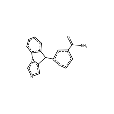 NC(=O)c1cccc(C2c3ccccc3-n3cncc32)c1